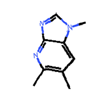 Cc1cc2c(n[c]n2C)nc1C